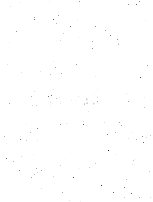 CO/N=C(\C(=O)N[C@@H]1C(=O)N2[C@@H]1SC1(C)C[C@]21C(=O)OCc1ccc([N+](=O)[O-])cc1)c1csc(N)n1